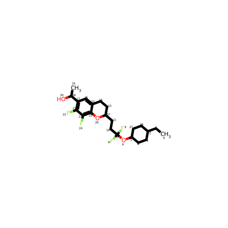 CCC1CCC(OC(F)(F)CCC2CCc3cc(C(C)O)c(F)c(F)c3O2)CC1